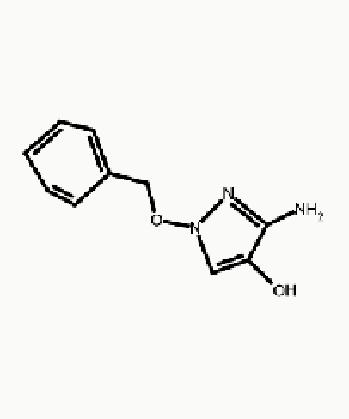 Nc1nn(OCc2ccccc2)cc1O